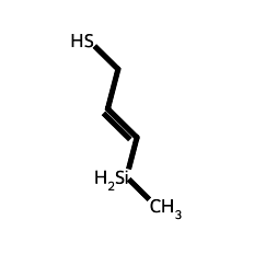 C[SiH2]C=CCS